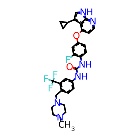 CN1CCN(Cc2ccc(NC(=O)Nc3ccc(Oc4ccnc5[nH]cc(C6CC6)c45)cc3F)cc2C(F)(F)F)CC1